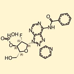 O=C(Nc1ncnc2c1nnn2[C@@H]1O[C@H](CO)[C@@H](O[PH](=O)O)[C@@H]1F)c1ccccc1.c1ccncc1